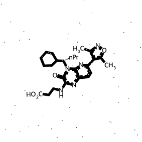 CCC[C@@H](C1CCCCC1)n1c(=O)c(NCCC(=O)O)nc2ccc(-c3c(C)noc3C)nc21